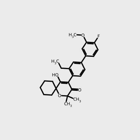 CCc1cc(-c2ccc(F)c(OC)c2)ccc1C1=C(O)C2(CCCCC2)OC(C)(C)C1=O